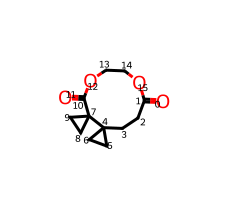 O=C1CCC2(CC2)C2(CC2)C(=O)OCCO1